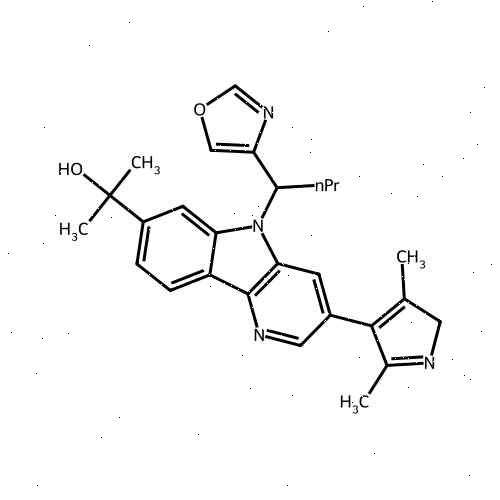 CCCC(c1cocn1)n1c2cc(C(C)(C)O)ccc2c2ncc(C3=C(C)CN=C3C)cc21